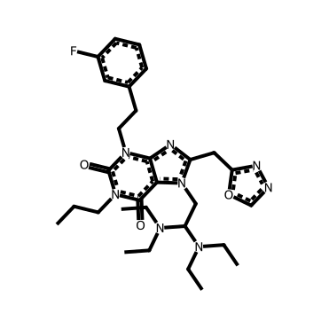 CCCn1c(=O)c2c(nc(Cc3nnco3)n2CC(N(CC)CC)N(CC)CC)n(CCc2cccc(F)c2)c1=O